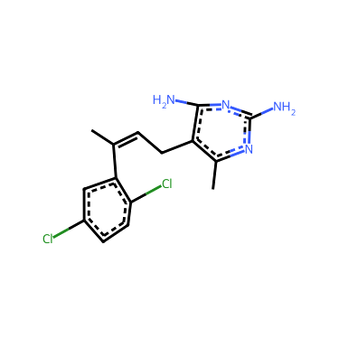 CC(=CCc1c(C)nc(N)nc1N)c1cc(Cl)ccc1Cl